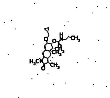 CCCNC(=O)O[C@H]1[C@H](OCC2CC2)C=C2C=C3C(=C(C)C(=O)N3C)C[C@]2(C)[C@H]1C